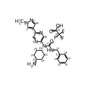 Cn1cc(-c2cnc(N(C(=O)NCc3ccccc3)[C@H]3CC[C@H](N)CC3)cn2)cn1.O=C(O)C(F)(F)F